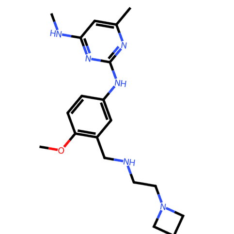 CNc1cc(C)nc(Nc2ccc(OC)c(CNCCN3CCC3)c2)n1